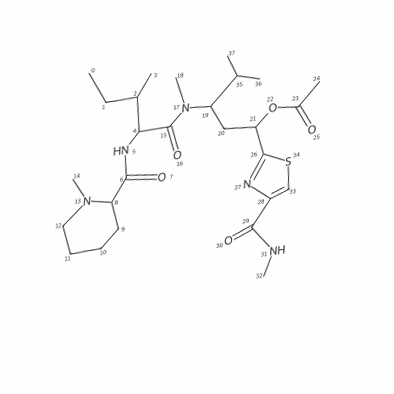 CCC(C)C(NC(=O)C1CCCCN1C)C(=O)N(C)C(CC(OC(C)=O)c1nc(C(=O)NC)cs1)C(C)C